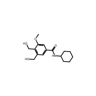 COc1cc(C(=O)NC2CCCCC2)cc(CO)c1CO